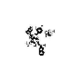 Cn1c(=O)n(CC(=O)NC2Cc3ccccc3C2)c(=O)c2c1nc(N1CCC3CNCC31)n2CCc1ccc(F)cc1.O=C(O)C(F)(F)F